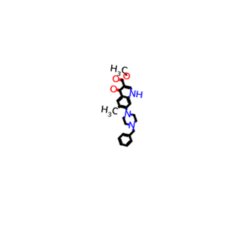 COC(=O)c1c[nH]c2cc(N3CCN(Cc4ccccc4)CC3)c(C)cc2c1=O